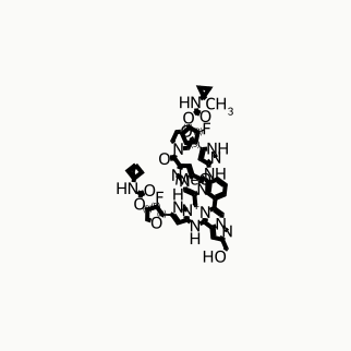 COc1cccc(-c2cn3nc(CO)cc3c(Nc3cc([C@H]4OC[C@@H](OC(=O)NC56CC(C5)C6)[C@@H]4F)[nH][n+]3Cc3cn4nc(C(=O)N5CCOCC5)cc4c(Nc4cc([C@@H]5CC[C@H](OC(=O)NC6(C)CC6)[C@@H]5F)[nH]n4)n3)n2)c1